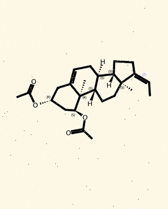 C/C=C1/CC[C@H]2[C@@H]3CC=C4C[C@@H](OC(C)=O)C[C@H](OC(C)=O)[C@]4(C)[C@H]3CC[C@]12C